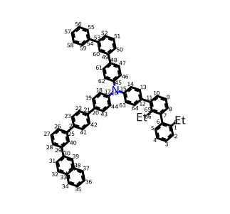 CCc1ccccc1-c1cccc(-c2ccc(N(c3ccc(-c4ccc(-c5cccc(-c6ccc7ccccc7c6)c5)cc4)cc3)c3ccc(-c4cccc(-c5ccccc5)c4)cc3)cc2)c1CC